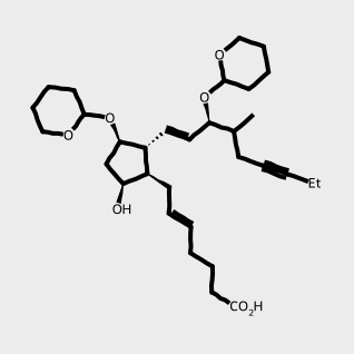 CCC#CCC(C)[C@@H](C=C[C@@H]1[C@@H](CC=CCCCC(=O)O)[C@@H](O)C[C@H]1OC1CCCCO1)OC1CCCCO1